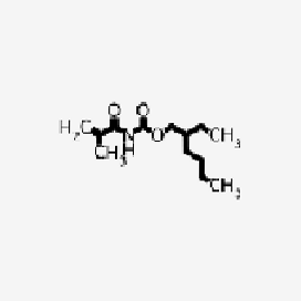 C=C(C)C(=O)NC(=O)OCC(CC)CCCC